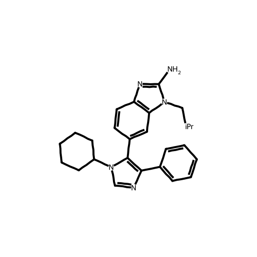 CC(C)Cn1c(N)nc2ccc(-c3c(-c4ccccc4)ncn3C3CCCCC3)cc21